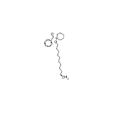 C=CCCCCCCCCCOC1(C(=O)c2ccccc2)CCCCC1